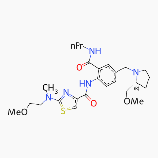 CCCNC(=O)c1cc(CN2CCC[C@@H]2COC)ccc1NC(=O)c1csc(N(C)CCOC)n1